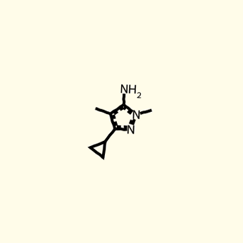 Cc1c(C2CC2)nn(C)c1N